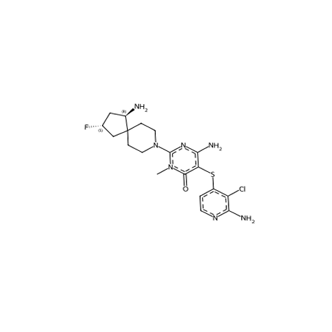 Cn1c(N2CCC3(CC2)C[C@H](F)C[C@H]3N)nc(N)c(Sc2ccnc(N)c2Cl)c1=O